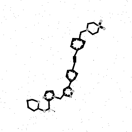 C[C@H](OC1CCCCO1)c1nccn1Cc1cc(-c2ccc(C#Cc3ccc(CN4CCS(=O)(=O)CC4)cc3)cc2)on1